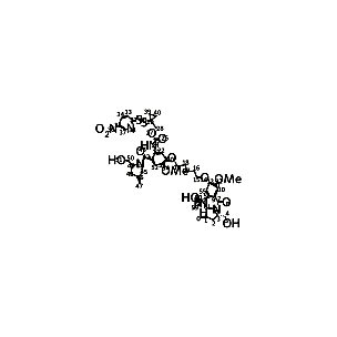 C=C1C[C@@H](CO)N(C(=O)c2cc(OC)c(OCCCCCOc3cc(NC(=O)OCC4(SSc5ccc([N+](=O)[O-])cn5)CC4)c(C(=O)N4CC(=C)C[C@H]4CO)cc3OC)cc2NB(C)O)C1